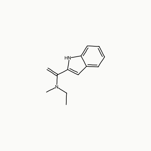 C=C(c1cc2ccccc2[nH]1)N(C)CC